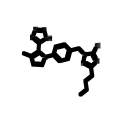 CCCCc1nc(Cl)n(Cc2ccc(-n3ccc(C)c3-c3nnn[nH]3)cc2)n1